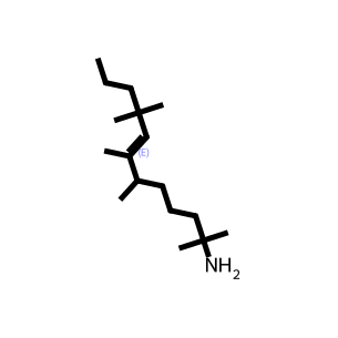 CCCC(C)(C)/C=C(\C)C(C)CCCC(C)(C)N